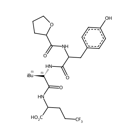 CC[C@H](C)[C@H](NC(=O)C(Cc1ccc(O)cc1)NC(=O)C1CCCO1)C(=O)NC(CCC(F)(F)F)C(=O)O